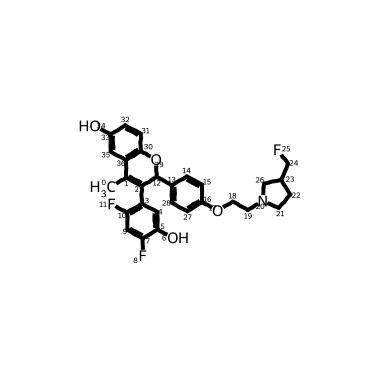 CC1=C(c2cc(O)c(F)cc2F)C(c2ccc(OCCN3CCC(CF)C3)cc2)Oc2ccc(O)cc21